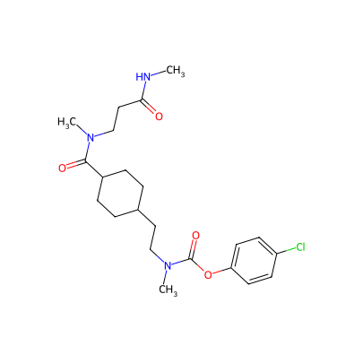 CNC(=O)CCN(C)C(=O)C1CCC(CCN(C)C(=O)Oc2ccc(Cl)cc2)CC1